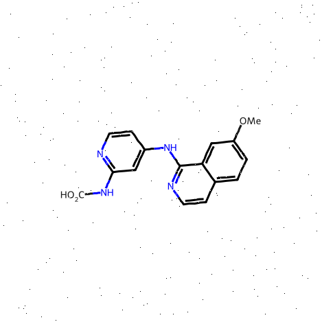 COc1ccc2ccnc(Nc3ccnc(NC(=O)O)c3)c2c1